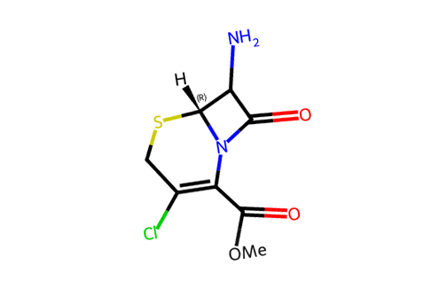 COC(=O)C1=C(Cl)CS[C@@H]2C(N)C(=O)N12